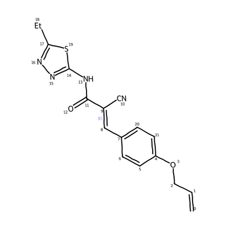 C=CCOc1ccc(/C=C(\C#N)C(=O)Nc2nnc(CC)s2)cc1